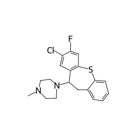 CN1CCN(C2Cc3ccccc3Sc3cc(F)c(Cl)cc32)CC1